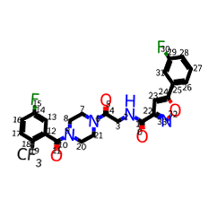 O=C(NCC(=O)N1CCN(C(=O)c2cc(F)ccc2C(F)(F)F)CC1)c1cc(-c2cccc(F)c2)on1